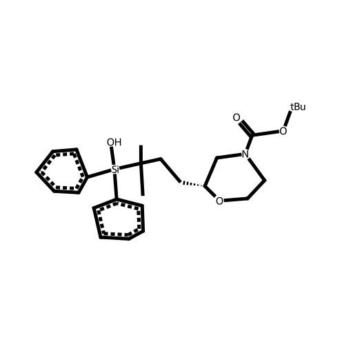 CC(C)(C)OC(=O)N1CCO[C@H](CCC(C)(C)[Si](O)(c2ccccc2)c2ccccc2)C1